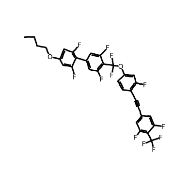 CCCCOc1cc(F)c(-c2cc(F)c(C(F)(F)Oc3ccc(C#Cc4cc(F)c(C(F)(F)F)c(F)c4)c(F)c3)c(F)c2)c(F)c1